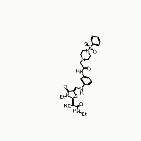 CCNC(=O)C(C#N)=c1sc(=CNc2cccc(NC(=O)CN3CCN(S(=O)(=O)c4ccccc4)CC3)c2)c(=O)n1CC